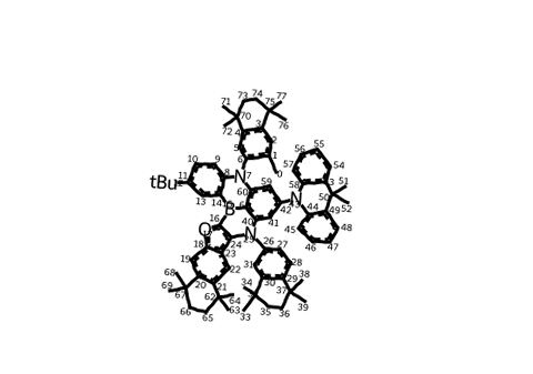 Cc1cc2c(cc1N1c3ccc(C(C)(C)C)cc3B3c4oc5cc6c(cc5c4N(c4ccc5c(c4)C(C)(C)CCC5(C)C)c4cc(N5c7ccccc7C(C)(C)c7ccccc75)cc1c43)C(C)(C)CCC6(C)C)C(C)(C)CCC2(C)C